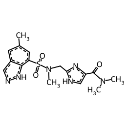 Cc1cc(S(=O)(=O)N(C)Cc2nc(C(=O)N(C)C)c[nH]2)c2[nH]ncc2c1